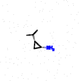 CC(C)[C@H]1C[C@H]1N